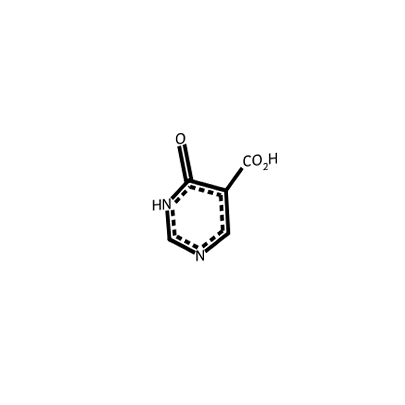 O=C(O)c1cnc[nH]c1=O